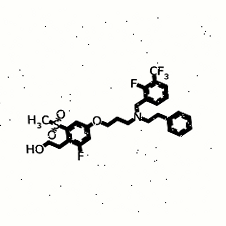 CS(=O)(=O)c1cc(OCCCN(CCc2ccccc2)Cc2cccc(C(F)(F)F)c2F)cc(F)c1CCO